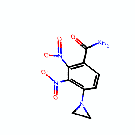 NC(=O)c1ccc(N2CC2)c([N+](=O)[O-])c1[N+](=O)[O-]